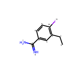 CCc1cc(C(=N)N)ccc1I